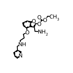 CCOC(=O)Oc1oc2cccc(OCCCNCc3cccnc3)c2c1CN